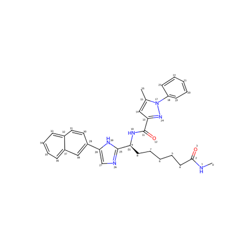 CNC(=O)CCCCC[C@H](NC(=O)c1cc(C)n(-c2ccccc2)n1)c1ncc(-c2ccc3ccccc3c2)[nH]1